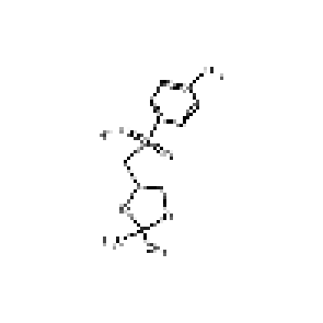 Cc1ccc(S(=O)(=O)CC2COC(C)(C)O2)cc1.[H+]